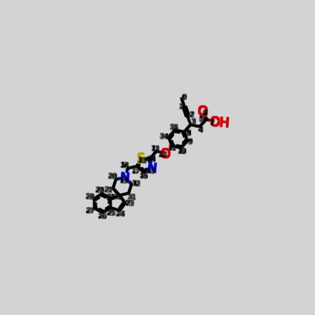 CC#C[C@@H](CC(=O)O)c1ccc(OCc2ncc(CN3CCC4(C=Cc5ccccc54)CC3)s2)cc1